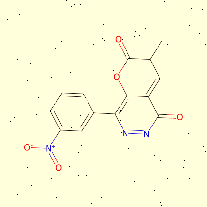 CC1C=C2C(=O)N=NC(c3cccc([N+](=O)[O-])c3)=C2OC1=O